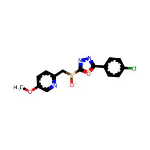 COc1ccc(C[S+]([O-])c2nnc(-c3ccc(Cl)cc3)o2)nc1